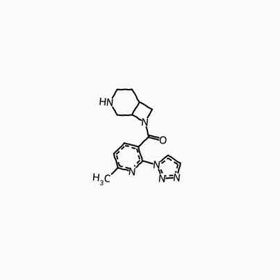 Cc1ccc(C(=O)N2CC3CCNCC32)c(-n2ccnn2)n1